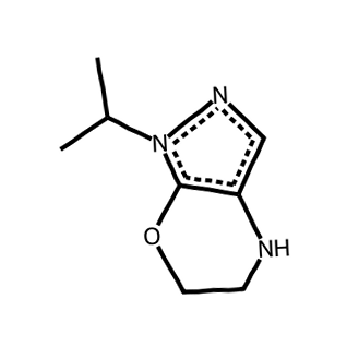 CC(C)n1ncc2c1OCCN2